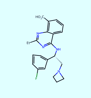 CCc1nc(N[C@H](CN2CCC2)c2cccc(F)c2)c2cccc(C(=O)O)c2n1